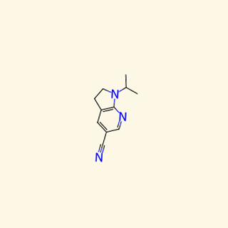 CC(C)N1CCc2cc(C#N)cnc21